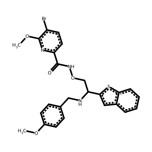 COc1ccc(CNC(CONC(=O)c2ccc(Br)c(OC)n2)c2cc3ccccc3s2)cc1